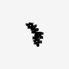 CC/N=C(/OC)C(C)(CCNC(=O)c1nc2c(n1C)CCN(C)C2)N[C@H]1CCC(=O)NC1